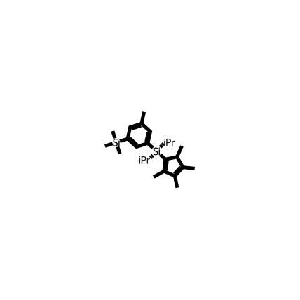 CC1=C(C)C(C)C([Si](c2cc(C)cc([Si](C)(C)C)c2)(C(C)C)C(C)C)=C1C